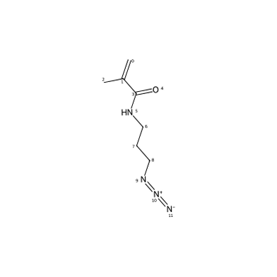 C=C(C)C(=O)NCCCN=[N+]=[N-]